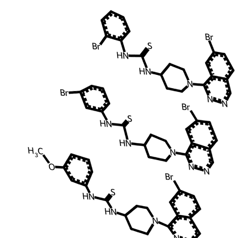 COc1cccc(NC(=S)NC2CCN(c3nncc4ccc(Br)cc34)CC2)c1.S=C(Nc1cccc(Br)c1)NC1CCN(c2nncc3ccc(Br)cc23)CC1.S=C(Nc1ccccc1Br)NC1CCN(c2nncc3ccc(Br)cc23)CC1